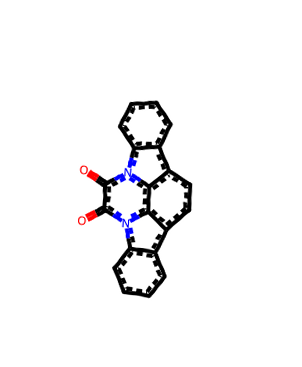 O=c1c(=O)n2c3ccccc3c3ccc4c5ccccc5n1c4c32